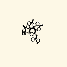 COC(=O)C[C@H]1O[C@H](Br)[C@H](OC(C)=O)[C@@H](OC(C)=O)[C@@H]1OC(C)=O